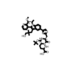 CCn1c(-c2cccnc2[C@H](C)OC)c(CC(C)(C)CO)c2cc(-c3csc(C[C@H](NC(=O)OC(C)(C)C)C(=O)N4CCCC(C(=O)O)N4)n3)ccc21